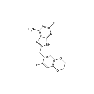 Nc1nc(F)nc2[nH]c(Cc3cc4c(cc3I)OCCO4)nc12